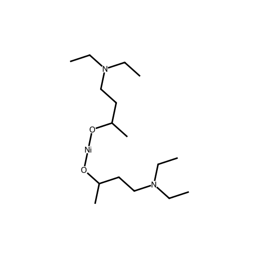 CCN(CC)CCC(C)[O][Ni][O]C(C)CCN(CC)CC